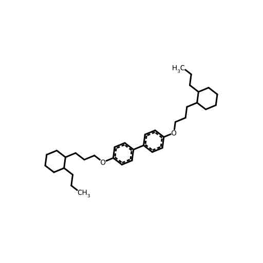 CCCC1CCCCC1CCCOc1ccc(-c2ccc(OCCCC3CCCCC3CCC)cc2)cc1